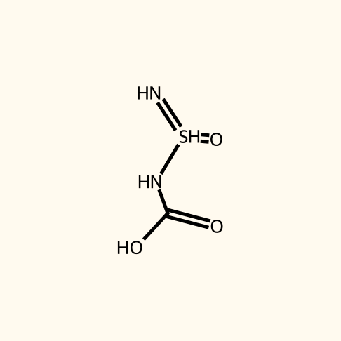 N=[SH](=O)NC(=O)O